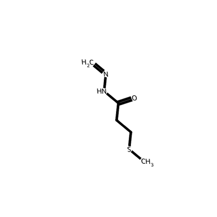 C=NNC(=O)CCSC